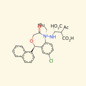 CC(=O)C(C(=O)O)[C@H](N[N@+]1(CC(C)(C)C)C(=O)CO[C@H](c2cccc3ccccc23)c2cc(Cl)ccc21)C(=O)O